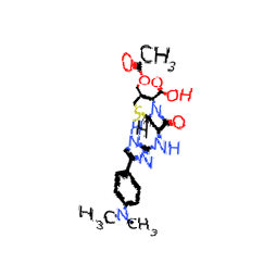 CC(=O)OCC1=C(C(=O)O)N2C(=O)C(Nc3nc(-c4ccc(N(C)C)cc4)c[nH]3)[C@@H]2SC1